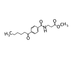 CCCCCC(=O)c1ccc(C(=O)NCCC(=O)OC)cc1